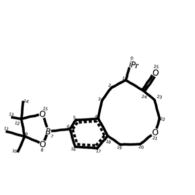 CC(C)C1CCc2cc(B3OC(C)(C)C(C)(C)O3)ccc2CCOCCC1=O